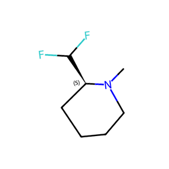 CN1CCCC[C@H]1C(F)F